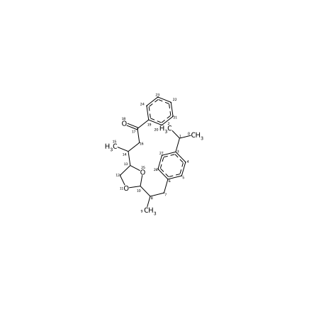 CC(C)c1ccc(CC(C)C2OCC(C(C)CC(=O)c3ccccc3)O2)cc1